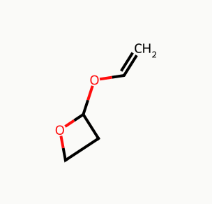 C=COC1CCO1